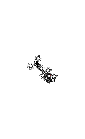 c1ccc(-c2nc(-c3ccccc3)nc(-c3ccc(N4c5ccccc5C5(c6ccccc64)c4ccccc4C4(c6ccccc6Oc6ccccc64)c4ccccc45)cc3)n2)cc1